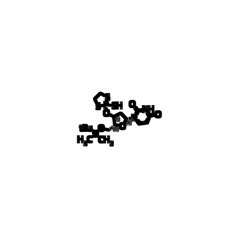 CC(C)(C)[Si](C)(C)OC[C@H]1O[C@@H](n2ccc(=O)[nH]c2=O)C[C@@H]1O[P]1(S)SCCS1